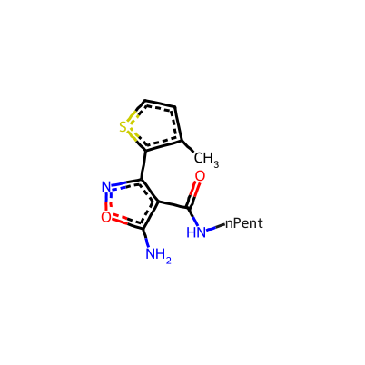 CCCCCNC(=O)c1c(-c2sccc2C)noc1N